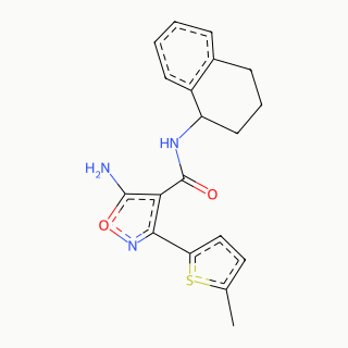 Cc1ccc(-c2noc(N)c2C(=O)NC2CCCc3ccccc32)s1